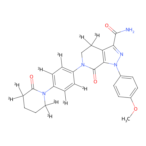 [2H]c1c([2H])c(N2C(=O)C([2H])([2H])CCC2([2H])[2H])c([2H])c([2H])c1N1CC([2H])([2H])c2c(C(N)=O)nn(-c3ccc(OC)cc3)c2C1=O